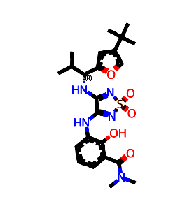 CC(C)[C@@H](NC1=NS(=O)(=O)N=C1Nc1cccc(C(=O)N(C)C)c1O)c1cc(C(C)(C)C)co1